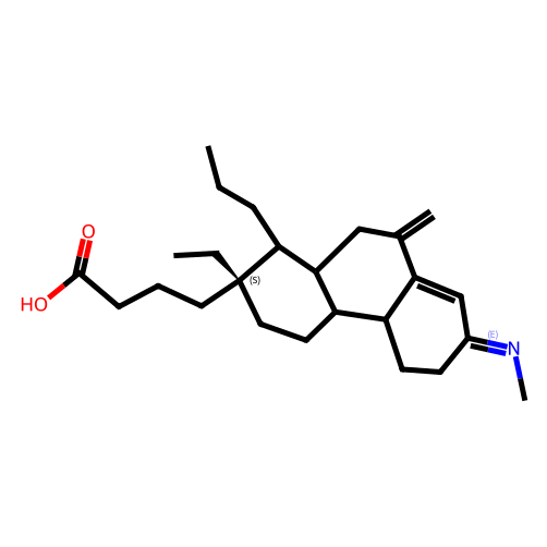 C=C1CC2C(CC[C@](CC)(CCCC(=O)O)C2CCC)C2CC/C(=N\C)C=C12